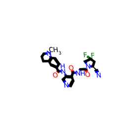 CN1CCCc2cc(C(=O)Nc3cnccc3C(=O)NCC(=O)N3CC(F)(F)C[C@H]3C#N)ccc21